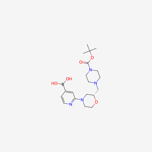 CC(C)(C)OC(=O)N1CCN(C[C@H]2CN(c3cc(B(O)O)ccn3)CCO2)CC1